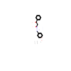 COc1ccc(CNC(=O)CC(=O)c2ccccc2)cc1